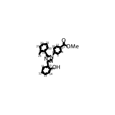 COC(=O)c1ccc(-n2nc(-c3ccccc3O)nc2-c2ccccc2C)cc1